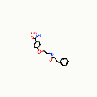 O=C(CCc1ccccc1)NCCOc1ccc(C(=O)NO)cc1